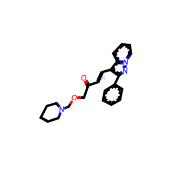 O=C(/C=C/c1c(-c2ccccc2)nn2ccccc12)COCN1CCCCC1